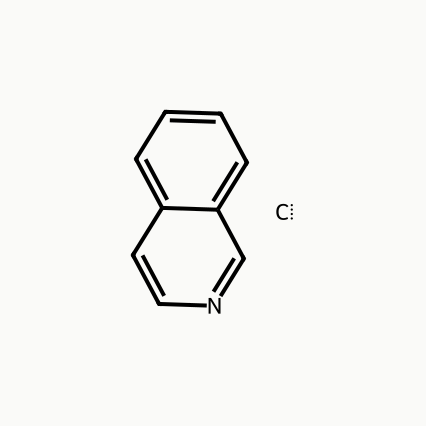 [C].c1ccc2cnccc2c1